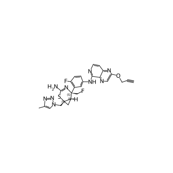 C#CCOc1cnc2c(Nc3ccc(F)c([C@@]4(CF)N=C(N)S[C@@]5(Cn6cc(C)nn6)C[C@H]54)c3)nccc2n1